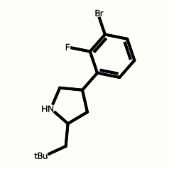 CC(C)(C)CC1CC(c2cccc(Br)c2F)CN1